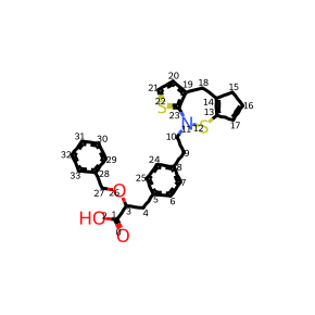 O=C(O)C(Cc1ccc(CCN2SC3=C(CC=C3)Cc3ccsc32)cc1)OCc1ccccc1